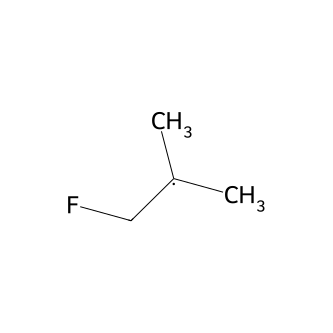 C[C](C)CF